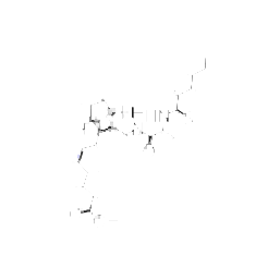 CCCCCC(=S)NC(C)C(=O)NC[C@H]1[C@@H](C/C=C\CCCC(=O)O)[C@H]2CC[C@@H]1O2